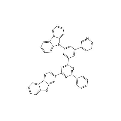 c1ccc(-c2nc(-c3cc(-c4cccnc4)cc(-n4c5ccccc5c5ccccc54)c3)cc(-c3ccc4c(c3)sc3ccccc34)n2)cc1